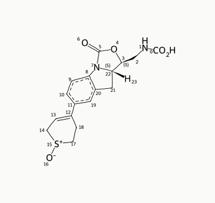 O=C(O)NC[C@@H]1OC(=O)N2c3ccc(C4=CC[S+]([O-])CC4)cc3C[C@@H]12